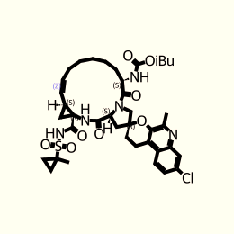 Cc1nc2cc(Cl)ccc2c2c1O[C@]1(CC2)C[C@H]2C(=O)N[C@]3(C(=O)NS(=O)(=O)C4(C)CC4)C[C@H]3/C=C\CCCCC[C@H](NC(=O)OCC(C)C)C(=O)N2C1